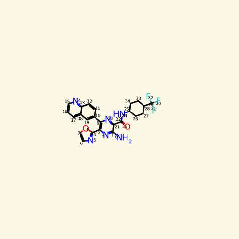 Nc1nc(-c2ncco2)c(-c2ccc3ncccc3c2)nc1C(=O)NC1CCC(C(F)(F)F)CC1